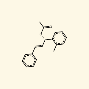 CC(=O)O[C@@H](/C=C/c1ccccc1)c1ccccc1C